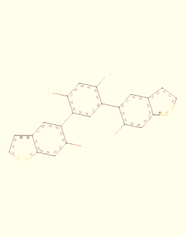 Brc1cc(Br)c(-c2cc3ccsc3cc2Br)cc1-c1cc2ccsc2cc1Br